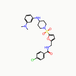 CN(C)c1cccc(NC2CCN(S(=O)(=O)c3ccc(CNC(=O)c4ccc(Cl)cc4)o3)CC2)c1